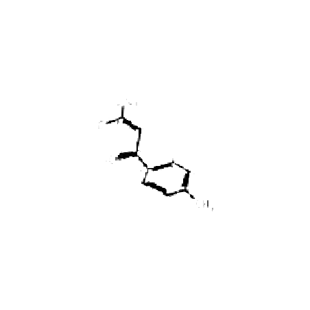 Cc1ccc(C(=O)/C=C(\Cl)C(C)(C)C)cc1